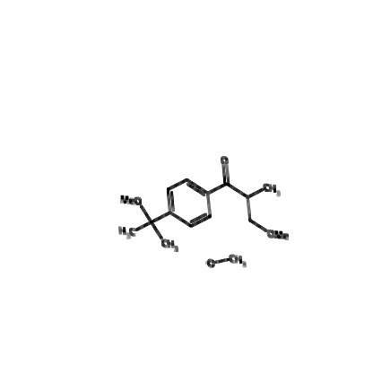 COCC(C)C(=O)c1ccc(C(C)(C)OC)cc1.C[O]